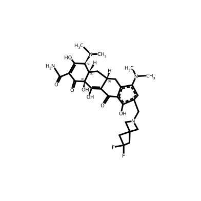 CN(C)c1cc(CN2CC3(C2)CC(F)(F)C3)c(O)c2c1C[C@H]1C[C@H]3[C@H](N(C)C)C(O)=C(C(N)=O)C(=O)[C@@]3(O)C(O)=C1C2=O